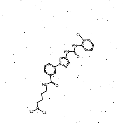 CCN(CC)CCCCNC(=O)c1cccc(-n2cc(NC(=O)Nc3ccccc3Cl)cn2)c1